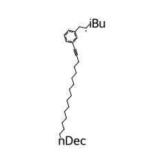 CCCCCCCCCCCCCCCCCCCCCCCCC#Cc1cccc(C[CH]C(C)CC)c1